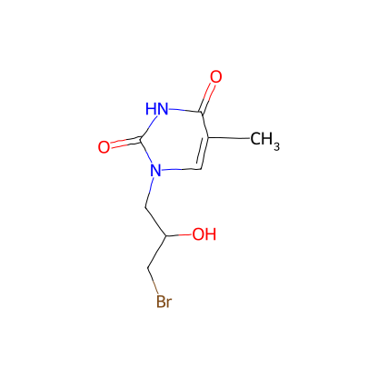 Cc1cn(CC(O)CBr)c(=O)[nH]c1=O